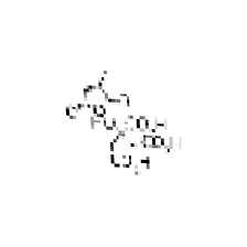 CC1=CC(=O)OC1=O.O=C(O)CC(O)(CC(=O)O)C(=O)O